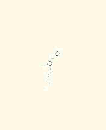 Cc1cc(NC(=O)c2cc(C3CC3NC3CCN(CC(F)(F)F)CC3)c(C)s2)no1